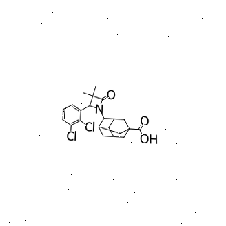 CC1(C)C(=O)N(C2C3CC4CC2CC(C(=O)O)(C4)C3)C1c1cccc(Cl)c1Cl